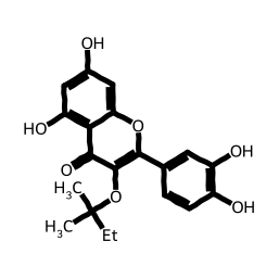 CCC(C)(C)Oc1c(-c2ccc(O)c(O)c2)oc2cc(O)cc(O)c2c1=O